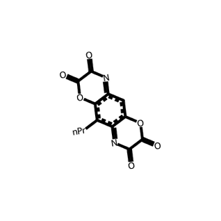 CCCc1c2c(cc3c1=NC(=O)C(=O)O3)=NC(=O)C(=O)O2